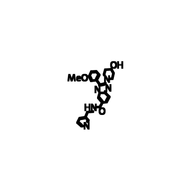 COc1cccc(-c2nc3cc(C(=O)NCCc4cccnc4)ccc3nc2N2CCC(O)CC2)c1